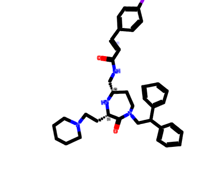 O=C(/C=C/c1ccc(I)cc1)NC[C@@H]1CCN(CC(c2ccccc2)c2ccccc2)C(=O)[C@H](CCN2CCCCC2)N1